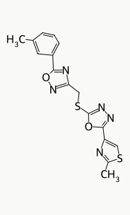 Cc1cccc(-c2nc(CSc3nnc(-c4csc(C)n4)o3)no2)c1